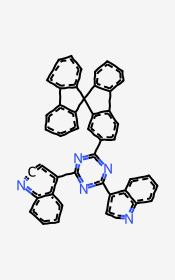 c1ccc2c(c1)-c1ccccc1C21c2ccccc2-c2ccc(-c3nc(-c4ccnc5ccccc45)nc(-c4ccnc5ccccc45)n3)cc21